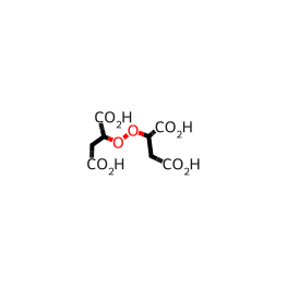 O=C(O)CC(OOC(CC(=O)O)C(=O)O)C(=O)O